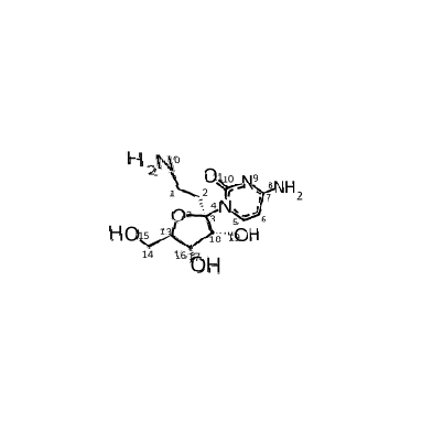 NCC[C@@]1(n2ccc(N)nc2=O)O[C@H](CO)[C@@H](O)[C@H]1O